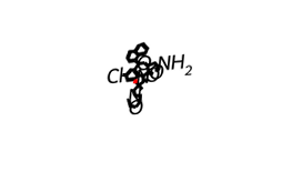 CC(C)(CN1CCOCC1)CN1C(=O)C(CC(N)=O)OC(c2cccc3ccccc23)c2cc(Cl)ccc21